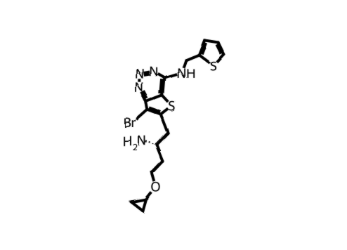 N[C@@H](CCOC1CC1)Cc1sc2c(NCc3cccs3)nnnc2c1Br